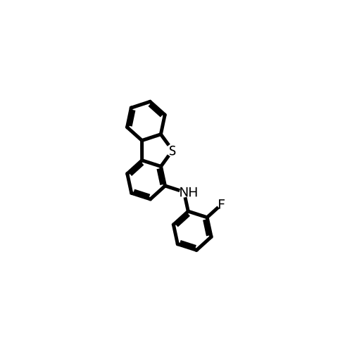 Fc1ccccc1Nc1cccc2c1SC1C=CC=CC21